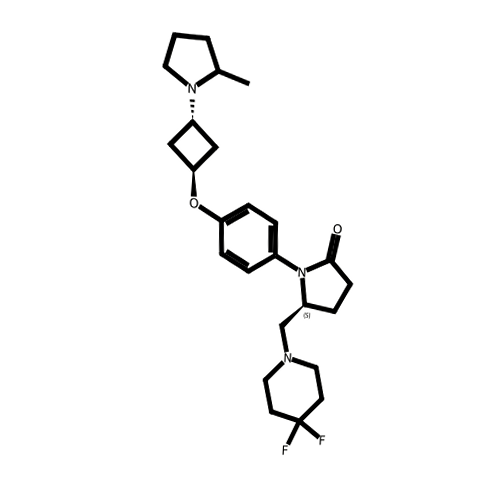 CC1CCCN1[C@H]1C[C@H](Oc2ccc(N3C(=O)CC[C@H]3CN3CCC(F)(F)CC3)cc2)C1